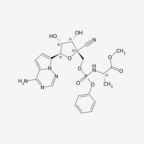 COC(=O)[C@H](C)NP(=O)(OC[C@@]1(C#N)O[C@@H](c2ccc3c(N)ncnn23)[C@H](O)[C@@H]1O)Oc1ccccc1